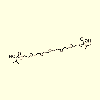 CC(C)P(=O)(O)OCCOCCOCCOCCOCCOCCOP(=O)(O)C(C)C